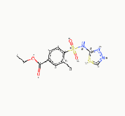 CCOC(=O)c1ccc(S(=O)(=O)Nc2nncs2)c(C)c1